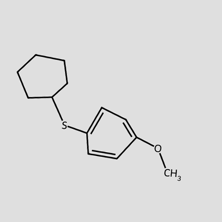 COc1ccc(SC2CCCCC2)cc1